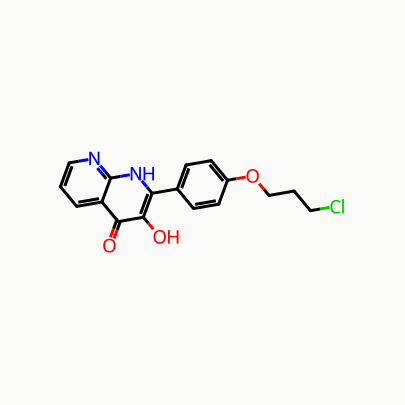 O=c1c(O)c(-c2ccc(OCCCCl)cc2)[nH]c2ncccc12